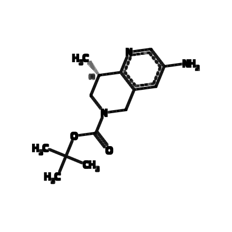 C[C@H]1CN(C(=O)OC(C)(C)C)Cc2cc(N)cnc21